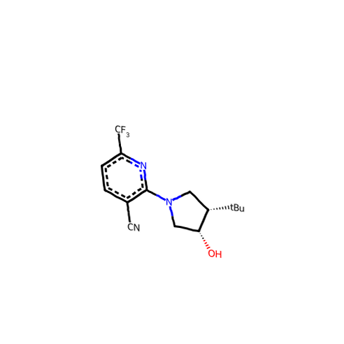 CC(C)(C)[C@H]1CN(c2nc(C(F)(F)F)ccc2C#N)C[C@H]1O